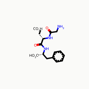 NCC(=O)N[C@@H](CC(=O)O)C(=O)N[C@H](Cc1ccccc1)C(=O)O